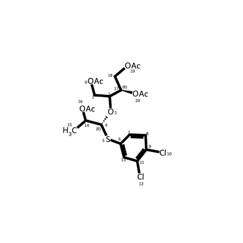 CC(=O)OCC(O[C@H](Sc1ccc(Cl)c(Cl)c1)C(C)OC(C)=O)[C@@H](COC(C)=O)OC(C)=O